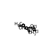 CCOc1ccc(-c2ccc(C)c(C(=O)O)c2)cc1CNC(=O)c1ccc(Cl)cc1Cl